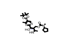 CC(=N)/C(COC(=O)N(C)C1CCCC1)=C(\O)c1ncc(B2OC(C)(C)C(C)(C)O2)c(C)n1